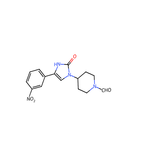 O=CN1CCC(n2cc(-c3cccc([N+](=O)[O-])c3)[nH]c2=O)CC1